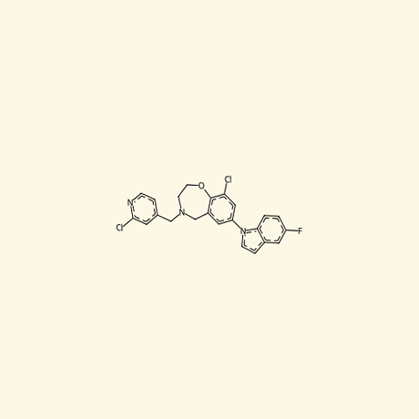 Fc1ccc2c(ccn2-c2cc(Cl)c3c(c2)CN(Cc2ccnc(Cl)c2)CCO3)c1